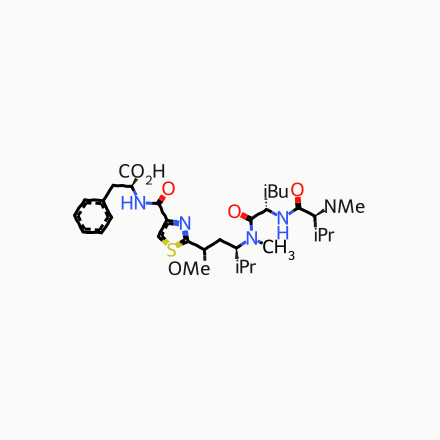 CCC(C)[C@H](NC(=O)[C@@H](NC)C(C)C)C(=O)N(C)[C@H](CC(OC)c1nc(C(=O)N[C@@H](Cc2ccccc2)C(=O)O)cs1)C(C)C